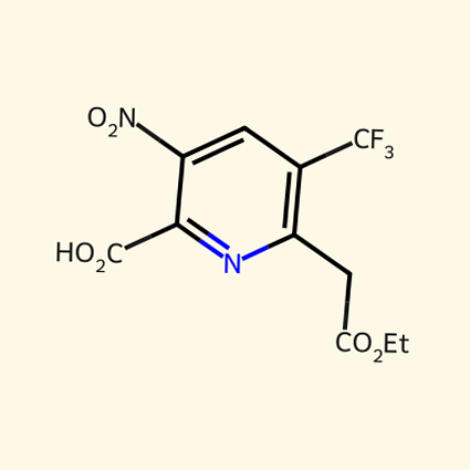 CCOC(=O)Cc1nc(C(=O)O)c([N+](=O)[O-])cc1C(F)(F)F